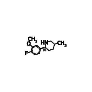 COc1cc([C@@H]2CCC(C)CN2)ccc1F